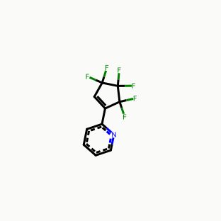 FC1(F)C=C(c2ccccn2)C(F)(F)C1(F)F